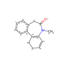 CN1C(=O)Cc2ccccc2C2=C1C=CCC2